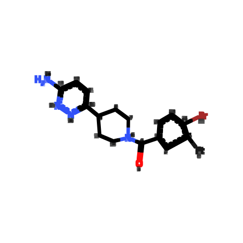 CCc1cc(C(=O)N2CCC(c3ccc(N)nn3)CC2)ccc1Br